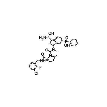 NC(O)n1cc(N2CCN3CC[C@@H](C(=O)NCc4cccc(Cl)c4F)N3C2=O)c2cc(P(=O)(O)c3ccccc3)ccc21